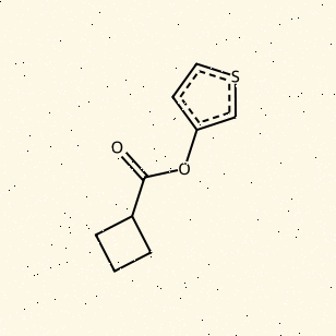 O=C(Oc1ccsc1)C1CCC1